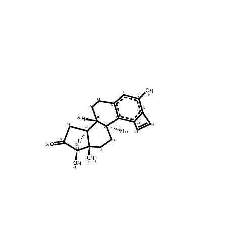 C[C@]12CC[C@@H]3c4c(cc(O)c5c4C=C5)CC[C@H]3[C@@H]1CC(=O)[C@@H]2O